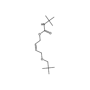 CC(C)(C)COC/C=C\COC(=O)NC(C)(C)C